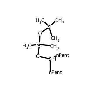 CCCCC[SiH](CCCCC)O[Si](C)(C)O[Si](C)(C)C